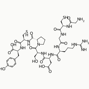 N=C(N)NCCC[C@H](NC(=O)CNC(=O)[C@@H](CS)NC(=O)CN)C(=O)N[C@@H](CC(=O)O)C(=O)N[C@@H](CO)C(=O)N1CCC[C@H]1C(=O)N[C@H](CS)C(=O)N[C@@H](Cc1ccc(O)cc1)C(=O)O